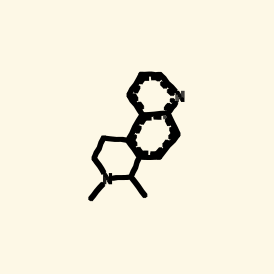 CC1c2ccc3ncccc3c2CCN1C